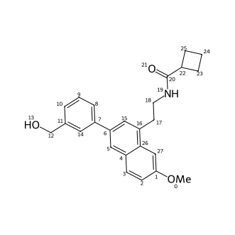 COc1ccc2cc(-c3cccc(CO)c3)cc(CCNC(=O)C3CCC3)c2c1